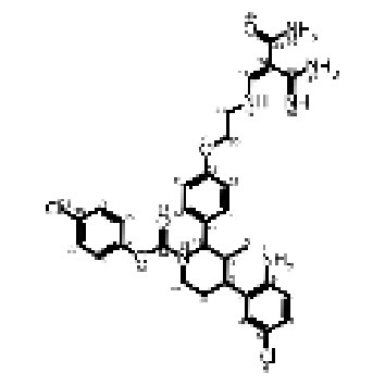 CC1C(c2cc(Cl)ccc2N)CCN(C(=O)Oc2ccc(Cl)cc2)C1c1ccc(OCCN/C=C(\C(=N)N)C(N)=O)cc1